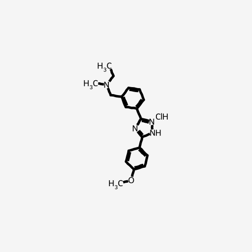 CCN(C)Cc1cccc(-c2n[nH]c(-c3ccc(OC)cc3)n2)c1.Cl